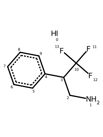 I.NCC(c1ccccc1)C(F)(F)F